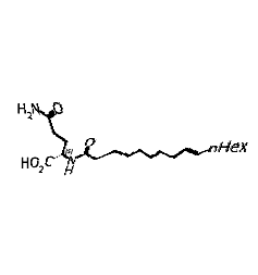 CCCCCCC=CCCCCCCCC(=O)N[C@@H](CCC(N)=O)C(=O)O